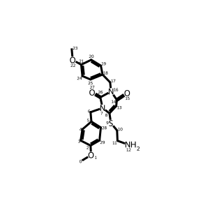 COc1ccc(Cn2c(SCCN)cc(=O)n(Cc3ccc(OC)cc3)c2=O)cc1